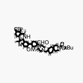 COc1cc2nc(C)nc(N[C@H](C)c3cccc(C(F)(F)F)c3F)c2cc1C1CCC(C=O)(N2CCN(CC3CCC4(CC3)CCN(C(=O)OC(C)(C)C)CC4)CC2)CC1